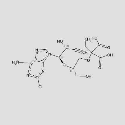 C#C[C@@H](O)[C@@H](O[C@@H](CO)COC(CC)(C(=O)O)C(=O)O)n1cnc2c(N)nc(Cl)nc21